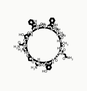 CCCC[C@H]1C(=O)N(C)[C@@H](CCCC)C(=O)N[C@@H](C)C(=O)N[C@H](C(=O)NCC(N)=O)CSCC(=O)N[C@@H](Cc2ccc(O)cc2)C(=O)N(C)[C@@H](C)C(=O)N[C@@H](CC(N)=O)C(=O)N2CCC[C@H]2C(=O)N[C@@H](CN)C(=O)N[C@@H](CCC(N)=O)C(=O)N2C[C@H](O)C[C@H]2C(=O)N[C@@H](Cc2c[nH]c3ccccc23)C(=O)N[C@@H](CO)C(=O)N[C@@H](Cc2c[nH]c3ccccc23)C(=O)N1C